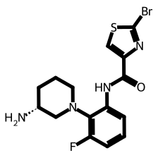 N[C@@H]1CCCN(c2c(F)cccc2NC(=O)c2csc(Br)n2)C1